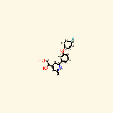 Cc1cc(C(O)CO)cc(-c2cccc(Oc3ccc(F)cc3)c2)n1